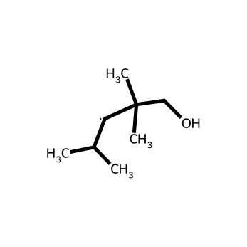 CC(C)[CH]C(C)(C)CO